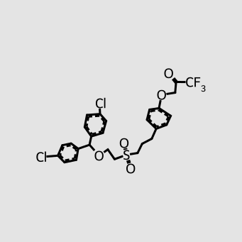 O=C(COc1ccc(CCCS(=O)(=O)CCOC(c2ccc(Cl)cc2)c2ccc(Cl)cc2)cc1)C(F)(F)F